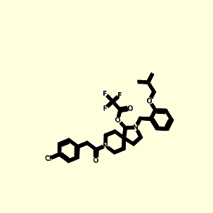 CC(C)COc1ccccc1CN1CCC2(CCN(C(=O)Cc3ccc(Cl)cc3)CC2)C1OC(=O)C(F)(F)F